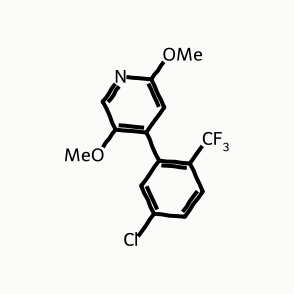 COc1cc(-c2cc(Cl)ccc2C(F)(F)F)c(OC)cn1